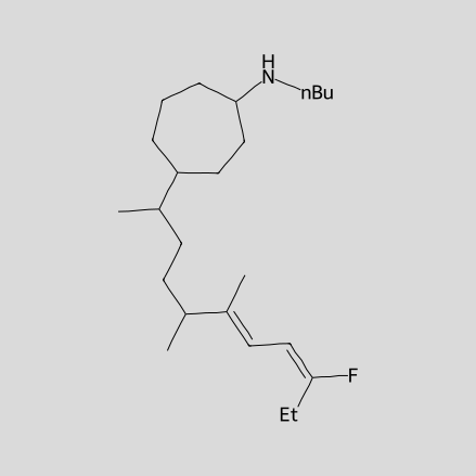 CCCCNC1CCCC(C(C)CCC(C)/C(C)=C/C=C(/F)CC)CC1